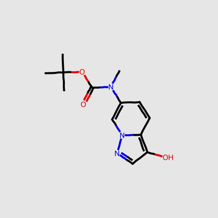 CN(C(=O)OC(C)(C)C)c1ccc2c(O)cnn2c1